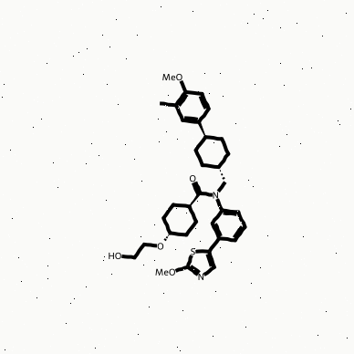 COc1ncc(-c2cccc(N(C[C@H]3CC[C@H](c4ccc(OC)c(C)c4)CC3)C(=O)[C@H]3CC[C@H](OCCO)CC3)c2)s1